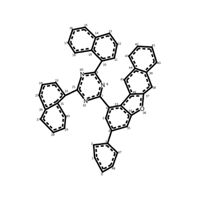 c1ccc(-c2cc(-c3nc(-c4cccc5ccccc45)nc(-c4cccc5ccccc45)n3)c3c(c2)oc2cc4ccccc4cc23)cc1